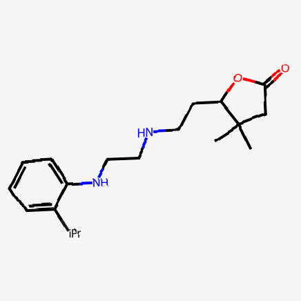 CC(C)c1ccccc1NCCNCCC1OC(=O)CC1(C)C